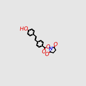 O=C(ON1C(=O)CCC1=O)c1ccc(/C=C/c2ccc(O)cc2)cc1